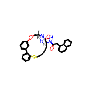 C[C@@H]1COc2cccc(c2)-c2ccccc2SCCCC[C@H](NC(=O)Cc2cccc3ccccc23)C(=O)N1